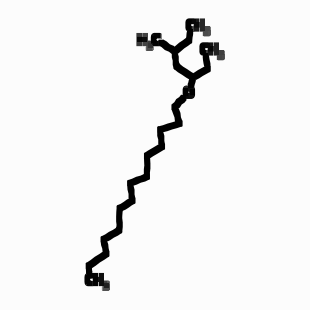 CCCCCCCCCCCCCCOC(CC)CC(C)CC